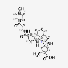 Cc1cc2c(cc1C(=O)O)NC(=O)/C2=C(/Nc1ccc(C(=O)NCCC(=O)N2CCN(C)CC2)cc1)c1ccccc1